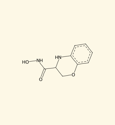 O=C(NO)C1COc2ccccc2N1